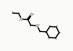 CCOC(=O)COCC1CCCCC1